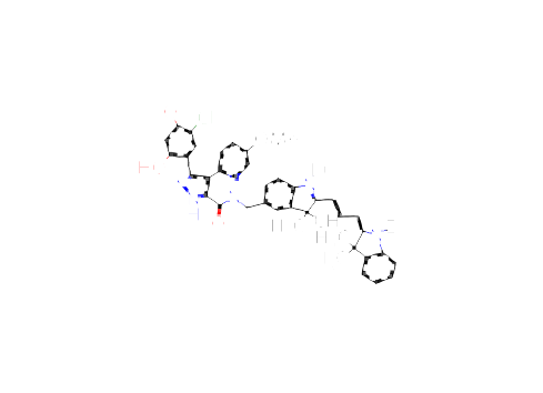 CCN1/C(=C/C=C/C2=[N+](CC)c3ccc(CNC(=O)c4[nH]nc(-c5cc(Cl)c(O)cc5O)c4-c4ccc(OC)cc4)cc3C2(C)C)C(C)(C)c2ccccc21